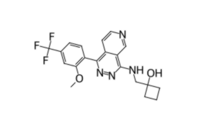 COc1cc(C(F)(F)F)ccc1-c1nnc(NCC2(O)CCC2)c2cnccc12